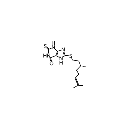 CC(C)=CCC[C@@H](C)CCSc1nc2[nH]c(=S)[nH]c(=O)c2[nH]1